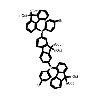 CCCCCCCCC1(CCCCCCCC)c2cc(N(c3ccc(Br)cc3)c3cccc4c3-c3ccccc3C4(CCCCCCCC)CCCCCCCC)ccc2-c2ccc(N(c3ccc(Br)cc3)c3cccc4c3-c3ccccc3C4(CCCCCCCC)CCCCCCCC)cc21